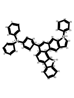 c1ccc(N(c2ccccc2)c2ccc(-c3cc4cc5c(ccn5-c5ccccc5)cc4c4c3ccc3c5ccccc5sc34)cc2)cc1